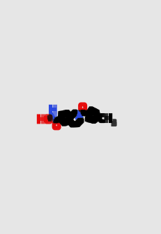 Cc1ccc(C(=O)N2CCCc3cc(C(=O)NO)ccc3C2)cc1